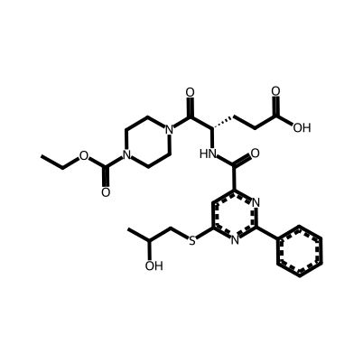 CCOC(=O)N1CCN(C(=O)[C@H](CCC(=O)O)NC(=O)c2cc(SCC(C)O)nc(-c3ccccc3)n2)CC1